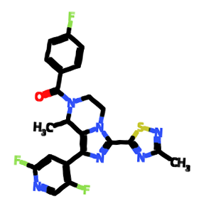 Cc1nsc(-c2nc(-c3cc(F)ncc3F)c3n2CCN(C(=O)c2ccc(F)cc2)C3C)n1